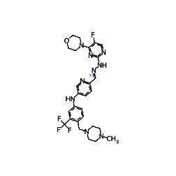 CN1CCN(Cc2ccc(Nc3ccc(/C=N/Nc4ncc(F)c(N5CCOCC5)n4)nc3)cc2C(F)(F)F)CC1